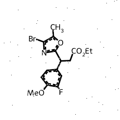 CCOC(=O)CC(c1ccc(OC)c(F)c1)c1nc(Br)c(C)o1